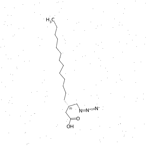 CCCCCCCCCCCCC[C@H](CN=[N+]=[N-])CC(=O)O